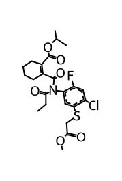 CCC(=O)N(C(=O)C1=C(C(=O)OC(C)C)CCCC1)c1cc(SCC(=O)OC)c(Cl)cc1F